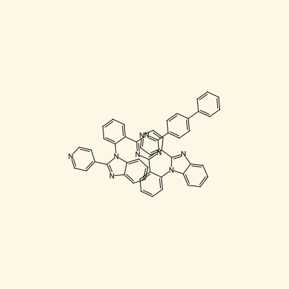 c1ccc(-c2ccc(-c3nc(-c4ccccc4-n4c(-c5ccncc5)nc5ccccc54)nc(-c4ccccc4-n4c(-c5ccncc5)nc5ccccc54)n3)cc2)cc1